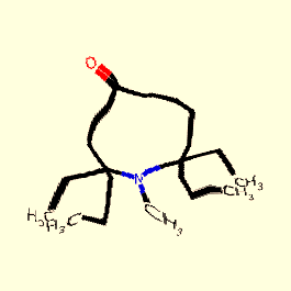 CCC1(CC)CCC(=O)CC(CC)(CC)N1C